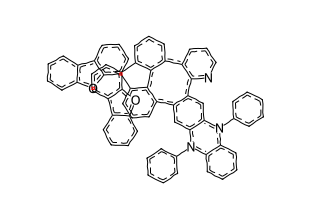 c1ccc(-n2c3ccccc3n(-c3ccccc3)c3cc4c(cc32)c2cccc(-c3cccc5c3oc3ccccc35)c2c2c(-c3cccc5c3oc3ccccc35)cccc2c2cccnc42)cc1